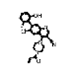 C=CC(=O)N1CCN(c2c(C#N)cnc3cc(-c4c(O)cccc4F)c(Cl)cc23)CC1